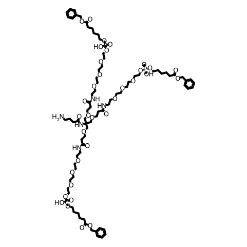 NCCCC(=O)NC(COCCC(=O)NCCOCCOCCOCCOP(=O)(O)OCCCCCC(=O)OCc1ccccc1)(COCCC(=O)NCCOCCOCCOCCOP(=O)(O)OCCCCCC(=O)OCc1ccccc1)COCCC(=O)NCCOCCOCCOCCOP(=O)(O)OCCCCCC(=O)OCc1ccccc1